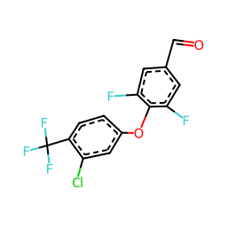 O=Cc1cc(F)c(Oc2ccc(C(F)(F)F)c(Cl)c2)c(F)c1